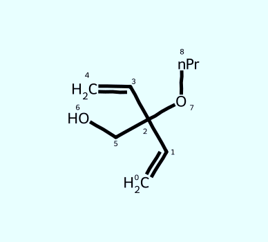 C=CC(C=C)(CO)OCCC